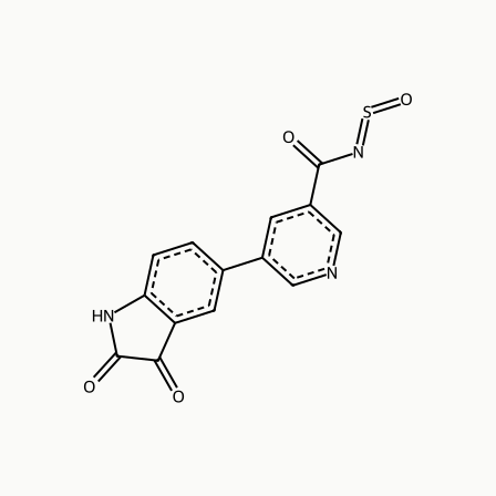 O=S=NC(=O)c1cncc(-c2ccc3c(c2)C(=O)C(=O)N3)c1